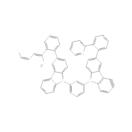 C=N/C(=C\C=C/C)c1ccccc1-c1ccc2c(c1)c1ccccc1n2-c1cccc(-n2c3ccc#cc3c3cc(-c4ccccc4-c4ccccn4)ccc32)c1